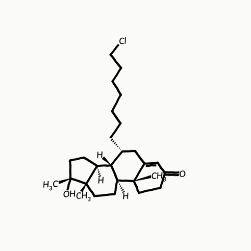 C[C@]12CCC(=O)C=C1C[C@@H](CCCCCCCCl)[C@@H]1[C@@H]2CC[C@@]2(C)[C@H]1CC[C@@]2(C)O